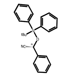 CC(C)(C)[Si](O[C@@H](C#N)c1ccccc1)(c1ccccc1)c1ccccc1